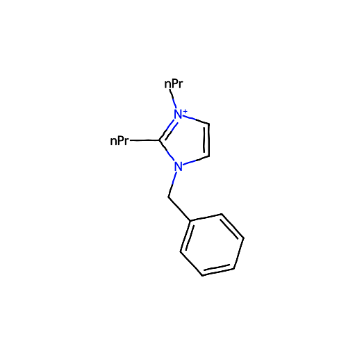 CCCc1n(Cc2ccccc2)cc[n+]1CCC